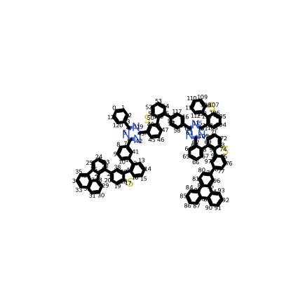 c1ccc(-c2nc(-c3cccc(-c4cccc5sc6ccc(-c7cccc8c7-c7cccc9cccc-8c79)cc6c45)c3)nc(-c3cccc4c3sc3cccc(-c5ccc(-c6nc(-c7ccccc7-c7cccc8sc9ccc(-c%10ccc%11c%12ccccc%12c%12ccccc%12c%11c%10)cc9c78)nc(-c7cccc8sc9ccccc9c78)n6)cc5)c34)n2)cc1